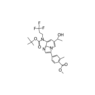 COC(=O)c1ccc(-c2cnc3c(N(CCC(F)(F)F)C(=O)OC(C)(C)C)cc(C(C)O)cn23)cc1C